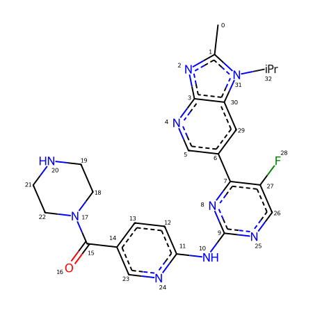 Cc1nc2ncc(-c3nc(Nc4ccc(C(=O)N5CCNCC5)cn4)ncc3F)cc2n1C(C)C